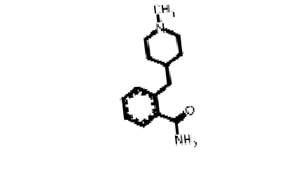 CN1CCC(Cc2ccccc2C(N)=O)CC1